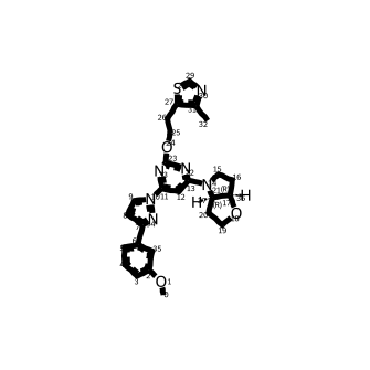 COc1cccc(-c2ccn(-c3cc(N4CC[C@H]5OCC[C@H]54)nc(OCCc4scnc4C)n3)n2)c1